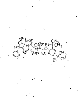 CCC(Oc1ccc(C(C)(C)CC)cc1C(C)(C)CC)C(=O)NC1(OC)C(=O)N(C(Cl)(C(=O)Nc2ccccc2)C(=O)C(C)(C)C)C(=O)N1C(C)=O